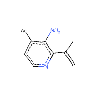 C=C(C)c1nccc(C(C)=O)c1N